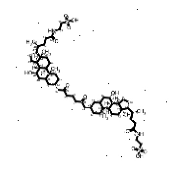 C[C@H](CCC(=O)NCCS(=O)(=O)O)[C@H]1CC[C@H]2[C@@H]3[C@@H](O)CC4C[C@H](CC(=O)CCCC(=O)C[C@H]5CC[C@]6(C)C(C5)C[C@@H](O)[C@@H]5[C@H]7CC[C@H]([C@@H](C)CCC(=O)NCCS(=O)(=O)O)[C@]7(C)CC[C@H]56)CC[C@]4(C)[C@H]3CC[C@]12C